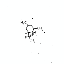 CC1CC(C)C(F)(F)C(F)(C(C)(F)F)C1